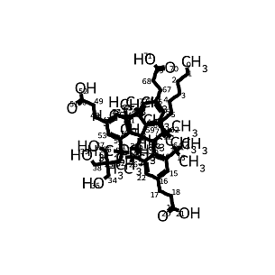 CCCCCCCCC(c1c(C(C)(C)C)cc(CCC(=O)O)cc1C(C)(C)C)C(C(=S)OCC(CO)(CO)CO)(c1c(C(C)(C)C)cc(CCC(=O)O)cc1C(C)(C)C)c1c(C(C)(C)C)cc(CCC(=O)O)cc1C(C)(C)C